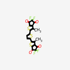 Cc1c(-c2ccc(-c3sc4c(c3C)C(=O)C(F)(F)C4=O)s2)sc2c1C(=O)C(F)(F)C2=O